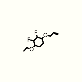 C=CCOC1CCC(OCC)C(F)C1F